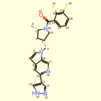 C[C@H]1C[C@@H](Cn2ccc3cc(-c4cn[nH]c4)ncc32)CN1C(=O)c1cccc(F)c1F